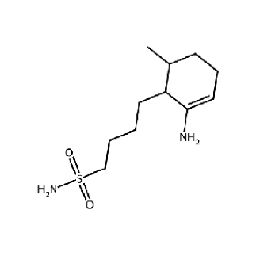 CC1CCC=C(N)C1CCCCS(N)(=O)=O